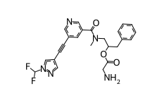 CN(CC(Cc1ccccc1)OC(=O)CN)C(=O)c1cncc(C#Cc2cnn(C(F)F)c2)c1